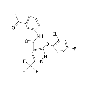 CC(=O)c1cccc(NC(=O)c2cc(C(F)(F)F)nnc2Oc2ccc(F)cc2Cl)c1